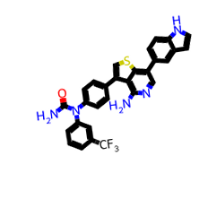 NC(=O)N(c1ccc(-c2csc3c(-c4ccc5[nH]ccc5c4)cnc(N)c23)cc1)c1cccc(C(F)(F)F)c1